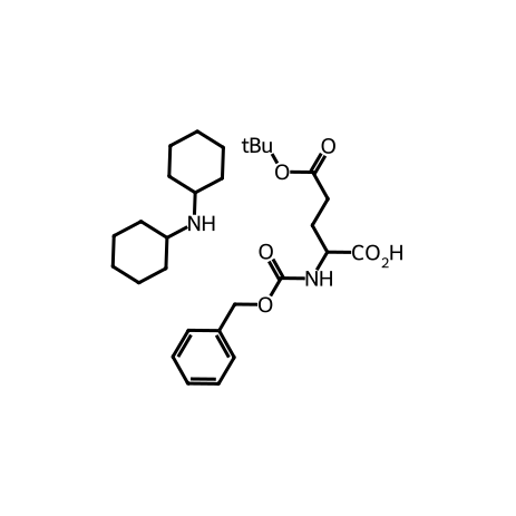 C1CCC(NC2CCCCC2)CC1.CC(C)(C)OC(=O)CCC(NC(=O)OCc1ccccc1)C(=O)O